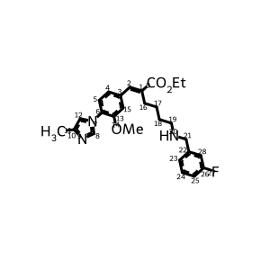 CCOC(=O)/C(=C/c1ccc(-n2cnc(C)c2)c(OC)c1)CCCCNCc1cccc(F)c1